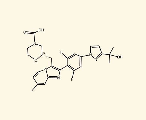 Cc1ccn2c(C[C@H]3CN(C(=O)O)CCO3)c(-c3c(F)cc(-n4ccc(C(C)(C)O)n4)cc3F)nc2c1